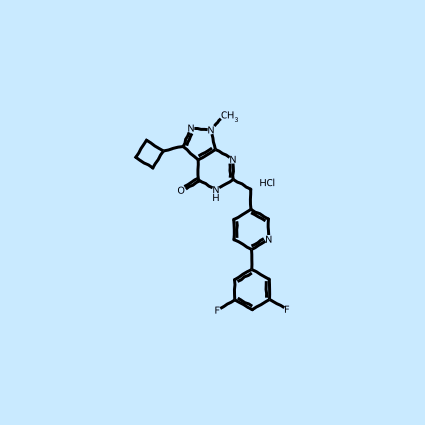 Cl.Cn1nc(C2CCC2)c2c(=O)[nH]c(Cc3ccc(-c4cc(F)cc(F)c4)nc3)nc21